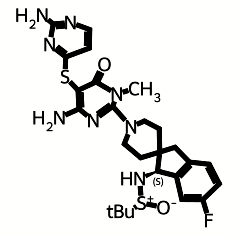 Cn1c(N2CCC3(CC2)Cc2ccc(F)cc2[C@H]3N[S+]([O-])C(C)(C)C)nc(N)c(Sc2ccnc(N)n2)c1=O